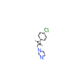 C[Si](C)(Cn1ccnc1)c1ccc(Cl)cc1